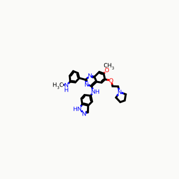 CNc1cccc(-c2nc(Nc3ccc4[nH]ncc4c3)c3cc(OCCN4CCCC4)c(OC)cc3n2)c1